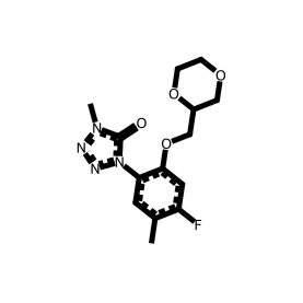 Cc1cc(-n2nnn(C)c2=O)c(OCC2COCCO2)cc1F